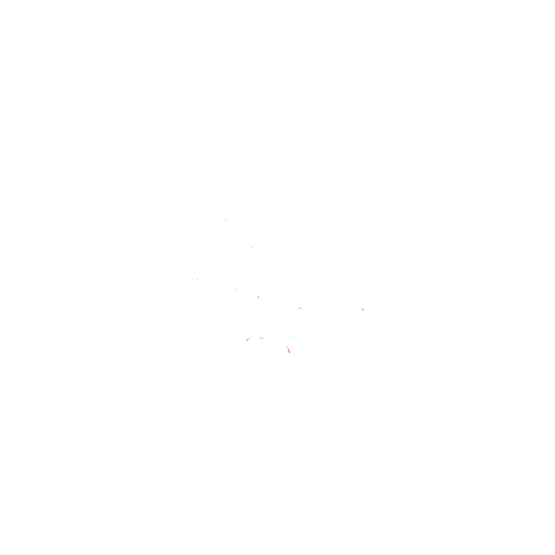 Cn1cnc2c(c1=O)[n+](C)cn2[C@@H]1O[C@H](COP(=O)(O)O)[C@@H](O)[C@H]1O